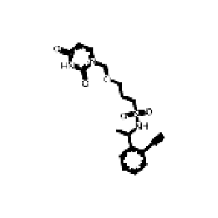 C#Cc1ccccc1C(C)NS(=O)(=O)CCCOCn1ccc(=O)[nH]c1=O